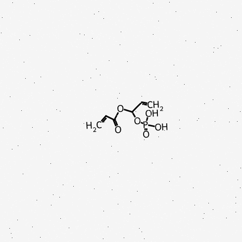 C=CC(=O)OC(C=C)OP(=O)(O)O